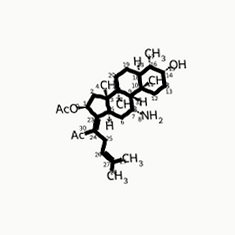 CC(=O)O[C@H]1C[C@@]2(C)[C@@H](C[C@@H](N)[C@H]3[C@@]4(C)CC[C@@H](O)[C@@H](C)[C@@H]4CC[C@@]32C)/C1=C(\CC=C(C)C)C(C)=O